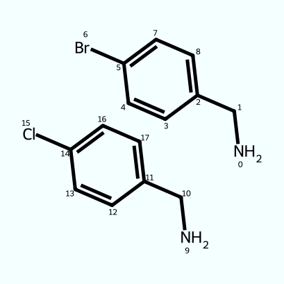 NCc1ccc(Br)cc1.NCc1ccc(Cl)cc1